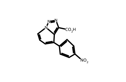 O=C(O)c1nnn2cccc(-c3ccc([N+](=O)[O-])cc3)c12